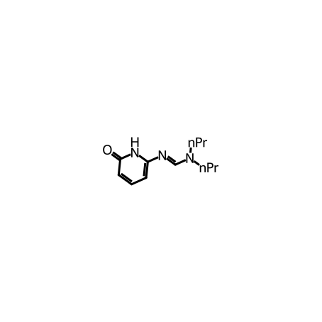 CCCN(C=Nc1cccc(=O)[nH]1)CCC